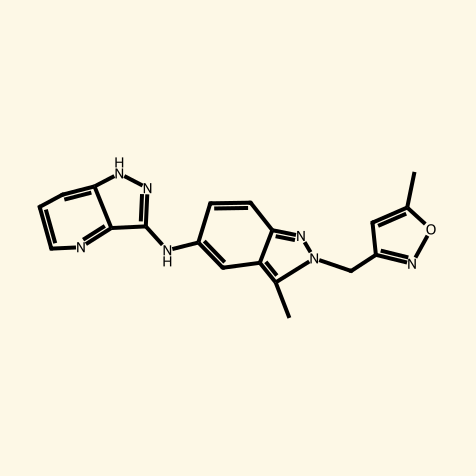 Cc1cc(Cn2nc3ccc(Nc4n[nH]c5cccnc45)cc3c2C)no1